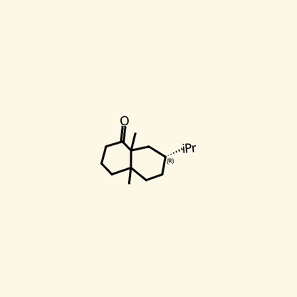 CC(C)[C@@H]1CCC2(C)CCCC(=O)C2(C)C1